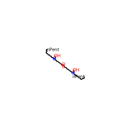 CCCCC/C=C\C/C=C\CCCCCCCCN(CCO)CCCCCCCCCCOC(=O)CCCCCCCCCN(CCO)CCCCCCCC/C=C\C/C=C\CCCCC